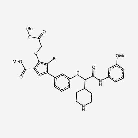 COC(=O)c1sc(-c2cccc(NC(C(=O)Nc3cccc(OC)c3)C3CCNCC3)c2)c(Br)c1OCC(=O)OC(C)(C)C